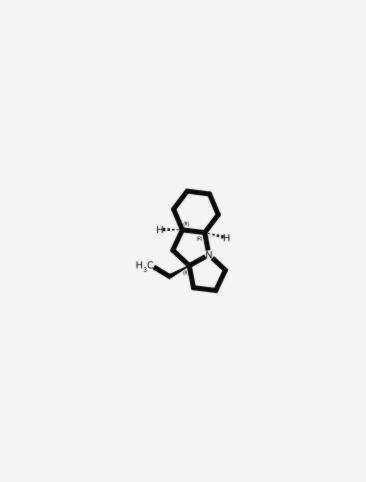 CC[C@]12CCCN1[C@@H]1CCCC[C@@H]1C2